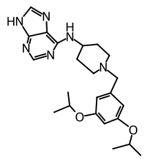 CC(C)Oc1cc(CN2CCC(Nc3ncnc4[nH]cnc34)CC2)cc(OC(C)C)c1